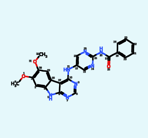 COc1cc2[nH]c3ncnc(Nc4cnc(NC(=O)c5ccccc5)nc4)c3c2cc1OC